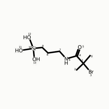 CC(C)(Br)C(=O)NCCC[Si](O)(O)O